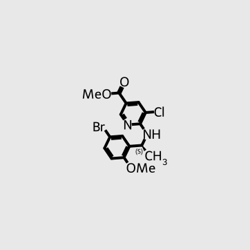 COC(=O)c1cnc(N[C@@H](C)c2cc(Br)ccc2OC)c(Cl)c1